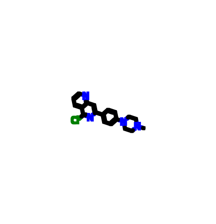 CN1CCN(c2ccc(-c3cc4ncccc4c(Cl)n3)cc2)CC1